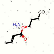 CC=CC(=O)OCCCS(=O)(=O)O.N